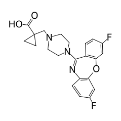 O=C(O)C1(CN2CCN(C3=Nc4ccc(F)cc4Oc4cc(F)ccc43)CC2)CC1